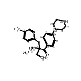 CCC(Cc1ccc(C)cc1)(NC)C(=O)c1ccc(N2CCNCC2)cc1